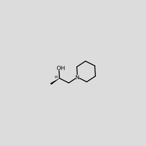 C[C@@H](O)CN1CCCCC1